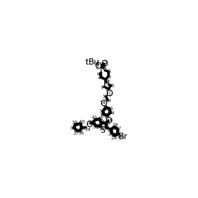 CC(C)(C)OC(=O)N1CCC(N2CC(OCCOc3ccc(Oc4c(-c5ccc(Br)cc5)sc5cc(OCc6ccccc6)ccc45)cc3)C2)CC1